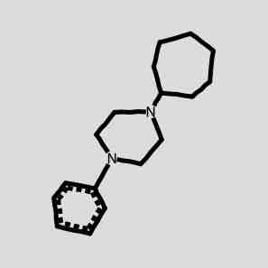 c1ccc(N2CCN(C3CCCCCC3)CC2)cc1